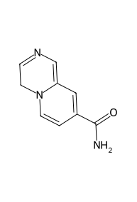 NC(=O)C1=CC2=CN=CCN2C=C1